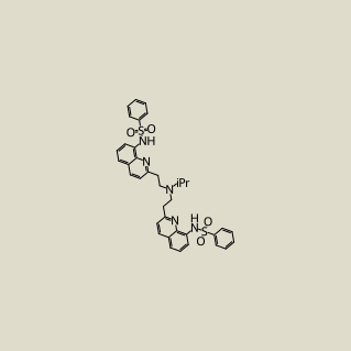 CC(C)N(CCc1ccc2cccc(NS(=O)(=O)c3ccccc3)c2n1)CCc1ccc2cccc(NS(=O)(=O)c3ccccc3)c2n1